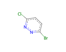 Clc1ccc(Br)nn1